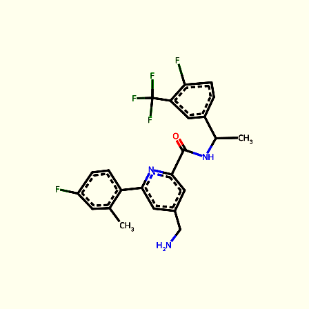 Cc1cc(F)ccc1-c1cc(CN)cc(C(=O)NC(C)c2ccc(F)c(C(F)(F)F)c2)n1